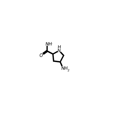 [NH]C(=O)C1CC(N)CN1